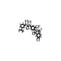 O=C(Nc1cccc(C(F)F)c1)Nc1ccc(NC(=O)c2cc(Cl)ccc2F)c(C(F)(F)F)c1